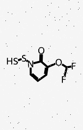 O=c1c(OC(F)F)cccn1SS